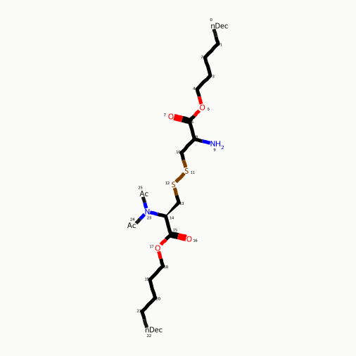 CCCCCCCCCCCCCCOC(=O)C(N)CSSC[C@@H](C(=O)OCCCCCCCCCCCCCC)N(C(C)=O)C(C)=O